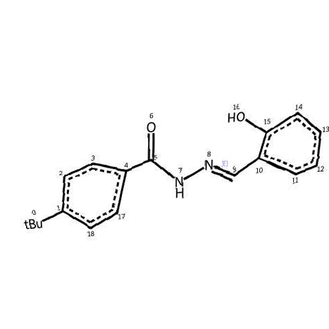 CC(C)(C)c1ccc(C(=O)N/N=C/c2ccccc2O)cc1